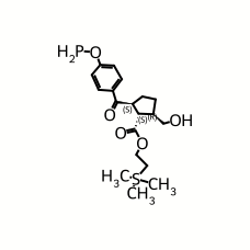 CS(C)(C)CCOC(=O)[C@H]1[C@H](CO)CC[C@@H]1C(=O)c1ccc(OP)cc1